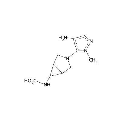 Cn1ncc(N)c1N1CC2C(C1)C2NC(=O)O